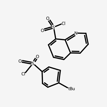 CC(C)(C)c1ccc(S(=O)(=O)Cl)cc1.O=S(=O)(Cl)c1cccc2cccnc12